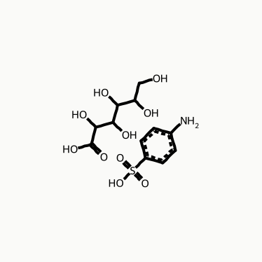 Nc1ccc(S(=O)(=O)O)cc1.O=C(O)C(O)C(O)C(O)C(O)CO